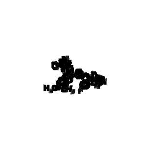 COc1ccc([C@H](Cc2c(Cl)cncc2Cl)OC(=O)c2ccc(CN(C(=O)O[C@H]3CN4CCC3CC4)c3ccc(F)cc3)cc2)cc1OC